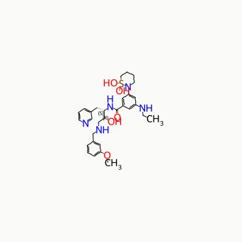 CCNc1cc(C(=O)N[C@@H](Cc2cccnc2)[C@H](O)CNCc2cccc(OC)c2)cc(N2CCCCS2(O)O)c1